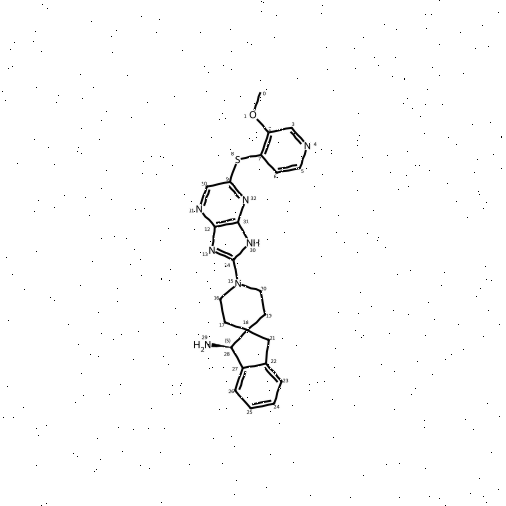 COc1cnccc1Sc1cnc2nc(N3CCC4(CC3)Cc3ccccc3[C@H]4N)[nH]c2n1